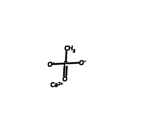 CP(=O)([O-])[O-].[Ca+2]